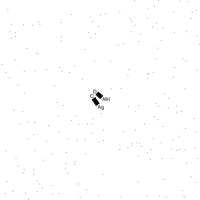 [O]=[Ag].[O]=[AlH]